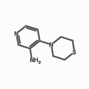 Nc1cnccc1N1CCSCC1